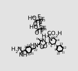 CC(NC(=O)[C@H]1C[C@@H](c2ccccc2)CCN1CC(=O)O)C(=O)NCc1ccc(C(=N)N)cc1.O=C(O)C(F)(F)F.O=C(O)C(F)(F)F